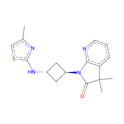 Cc1csc(N[C@H]2C[C@H](N3C(=O)C(C)(C)c4cccnc43)C2)n1